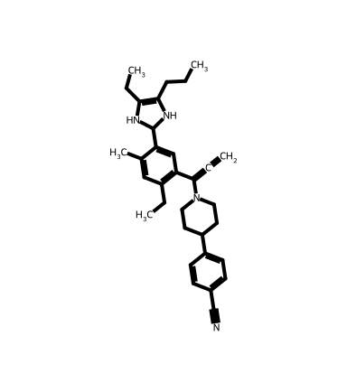 C=C=C(c1cc(C2NC(CC)=C(CCC)N2)c(C)cc1CC)N1CCC(c2ccc(C#N)cc2)CC1